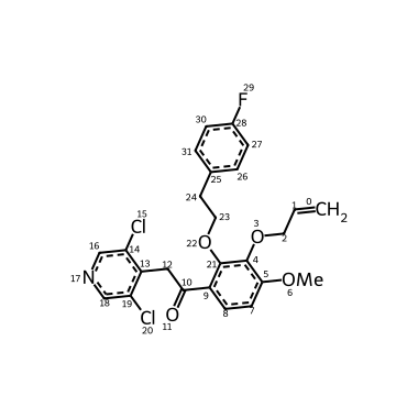 C=CCOc1c(OC)ccc(C(=O)Cc2c(Cl)cncc2Cl)c1OCCc1ccc(F)cc1